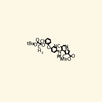 COC(=O)c1cn2ncc(C#N)c(Nc3ccc(Oc4ccccc4OC(C)(C)C(=O)OC(C)(C)C)cc3)c2c1C